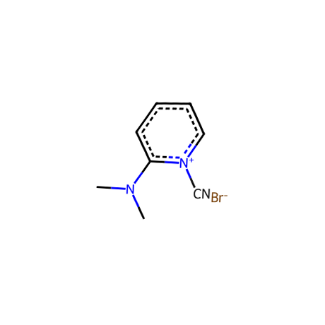 CN(C)c1cccc[n+]1C#N.[Br-]